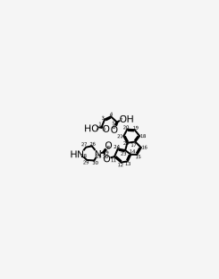 O=C(O)/C=C\C(=O)O.O=C(Oc1ccc2ccc3ccccc3c2c1)N1CCNCC1